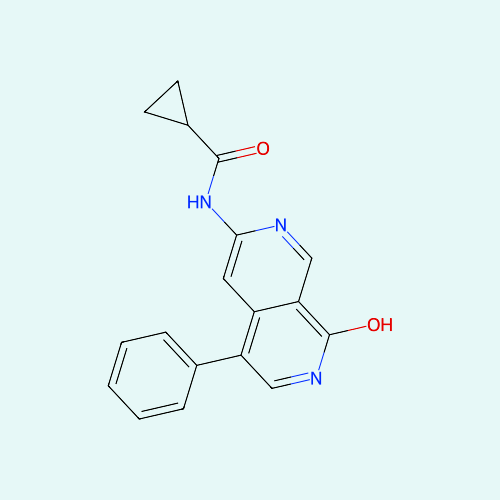 O=C(Nc1cc2c(-c3ccccc3)cnc(O)c2cn1)C1CC1